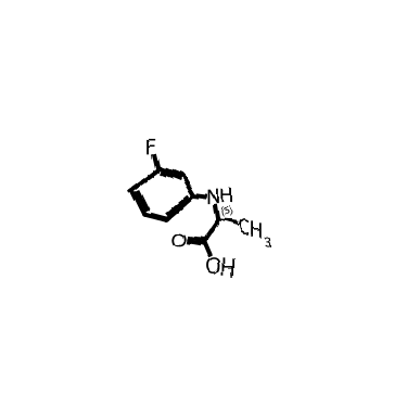 C[C@H](Nc1cccc(F)c1)C(=O)O